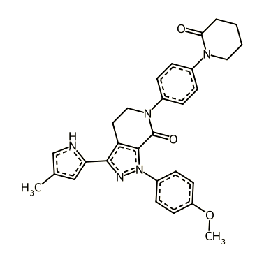 COc1ccc(-n2nc(-c3cc(C)c[nH]3)c3c2C(=O)N(c2ccc(N4CCCCC4=O)cc2)CC3)cc1